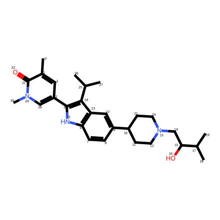 Cc1cc(-c2[nH]c3ccc(C4CCN(CC(O)C(C)C)CC4)cc3c2C(C)C)cn(C)c1=O